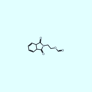 O=COCCN1C(=O)C2C=CC=CC2C1=O